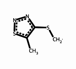 [CH2]Sc1nnsc1C